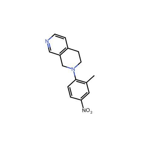 Cc1cc([N+](=O)[O-])ccc1N1CCc2ccncc2C1